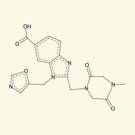 CN1CC(=O)N(Cc2nc3ccc(C(=O)O)cc3n2Cc2cnco2)CC1=O